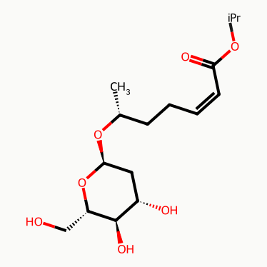 CC(C)OC(=O)/C=C\CC[C@@H](C)O[C@H]1C[C@H](O)[C@@H](O)[C@H](CO)O1